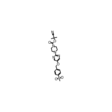 CC(C)(C#N)OC(=O)N1CCN(c2ncc(OCc3ccc(S(C)(=O)=O)cc3)cn2)CC1